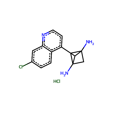 Cl.NC12CC(N)(C1)C2c1ccnc2cc(Cl)ccc12